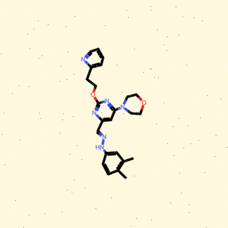 Cc1ccc(N/N=C/c2cc(N3CCOCC3)nc(OCCc3ccccn3)n2)cc1C